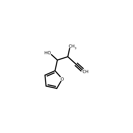 C#CC(C)C(O)c1ccco1